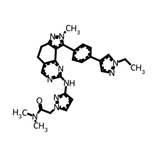 CCn1cc(-c2ccc(-c3c4c(nn3C)CCc3cnc(Nc5ccn(CC(=O)N(C)C)n5)nc3-4)cc2)cn1